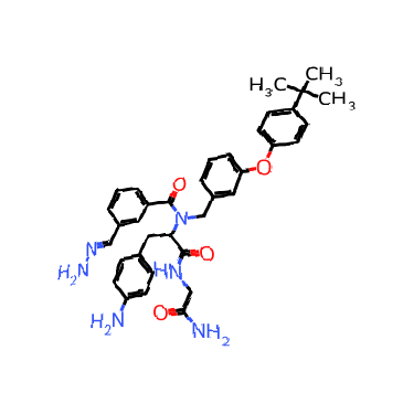 CC(C)(C)c1ccc(Oc2cccc(CN(C(=O)c3cccc(C=NN)c3)C(Cc3ccc(N)cc3)C(=O)NCC(N)=O)c2)cc1